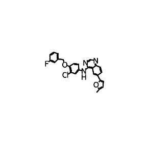 Cc1ccc(-c2ccc3ncnc(Nc4ccc(OCc5cccc(F)c5)c(Cl)c4)c3c2)o1